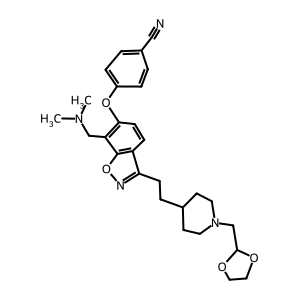 CN(C)Cc1c(Oc2ccc(C#N)cc2)ccc2c(CCC3CCN(CC4OCCO4)CC3)noc12